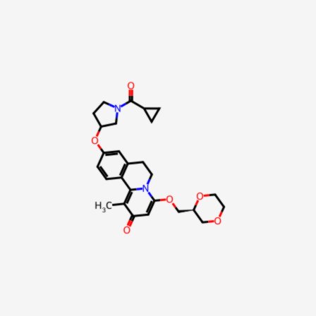 Cc1c2n(c(OC[C@@H]3COCCO3)cc1=O)CCc1cc(OC3CCN(C(=O)C4CC4)C3)ccc1-2